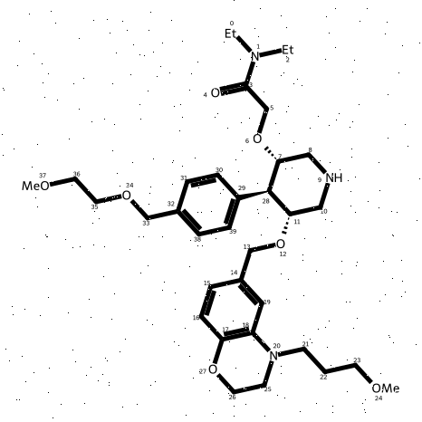 CCN(CC)C(=O)CO[C@@H]1CNC[C@H](OCc2ccc3c(c2)N(CCCOC)CCO3)[C@H]1c1ccc(COCCOC)cc1